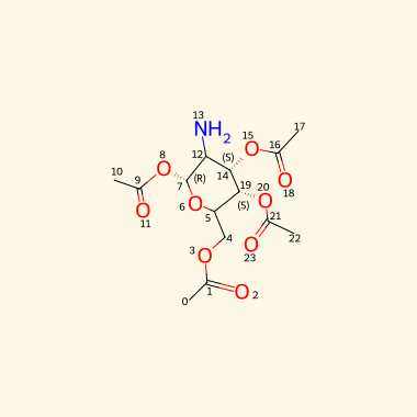 CC(=O)OCC1O[C@H](OC(C)=O)C(N)[C@H](OC(C)=O)[C@@H]1OC(C)=O